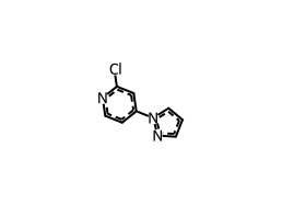 Clc1cc(-n2cccn2)ccn1